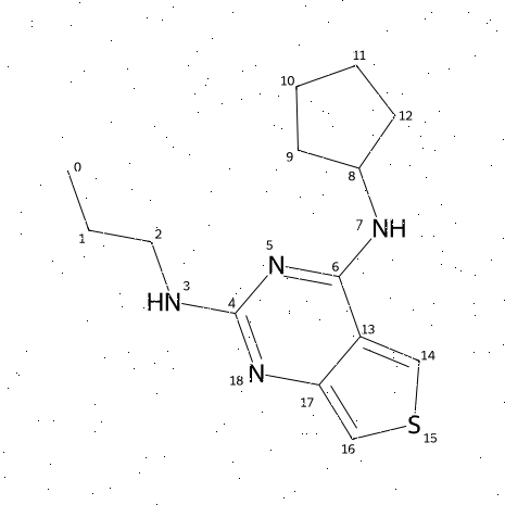 CCCNc1nc(NC2CCCC2)c2cscc2n1